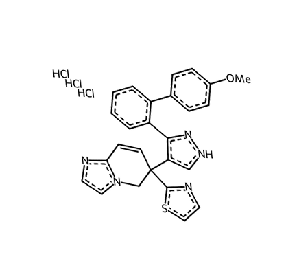 COc1ccc(-c2ccccc2-c2n[nH]cc2C2(c3nccs3)C=Cc3nccn3C2)cc1.Cl.Cl.Cl